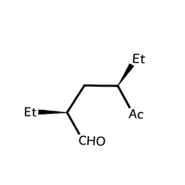 CC[C@H](C=O)C[C@@H](CC)C(C)=O